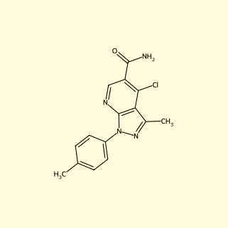 Cc1ccc(-n2nc(C)c3c(Cl)c(C(N)=O)cnc32)cc1